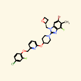 Cc1c(Br)cc2c(nc(N3CCC(Oc4cccc(COc5ccc(Cl)cc5F)n4)CC3)n2C[C@@H]2CCO2)c1F